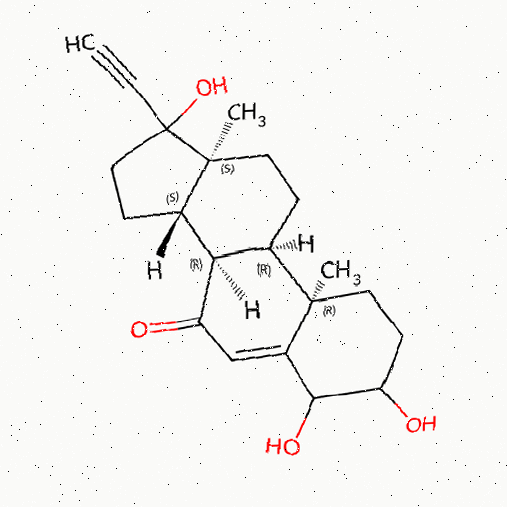 C#CC1(O)CC[C@H]2[C@@H]3C(=O)C=C4C(O)C(O)CC[C@]4(C)[C@@H]3CC[C@@]21C